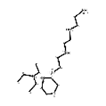 C1COCCN1.CCN(CC)CC.NCCNCCNCCN